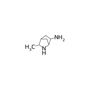 CC1NC2CC1CC2N